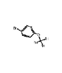 [2H]C([2H])([2H])Oc1ccc(Br)cn1